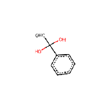 O=[C]C(O)(O)c1ccccc1